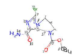 CC(C)(C)OC(=O)N1CCCn2c(Br)nc(C(N)=O)c2C1